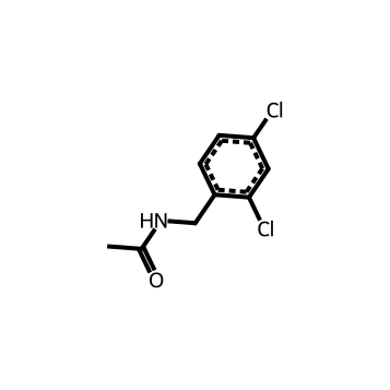 CC(=O)NCc1ccc(Cl)cc1Cl